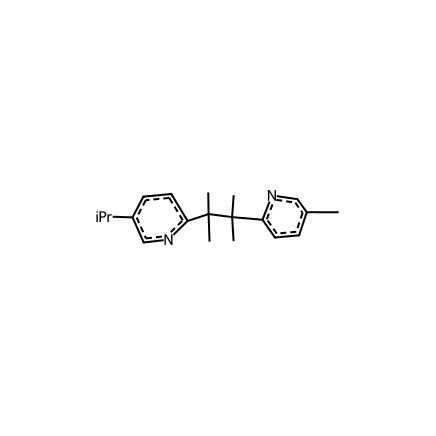 Cc1ccc(C(C)(C)C(C)(C)c2ccc(C(C)C)cn2)nc1